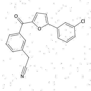 N#CCc1cccc(C(=O)c2ccc(-c3cccc(Cl)c3)o2)c1